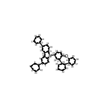 c1ccc(-c2ccc3c(c2)c2cc(-c4ccccc4)ccc2n3-c2ccc3c(c2)-c2ccccc2-c2ccccc2O3)cc1